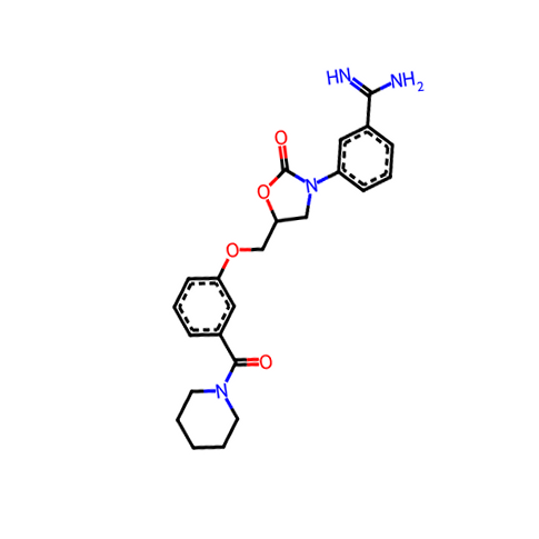 N=C(N)c1cccc(N2CC(COc3cccc(C(=O)N4CCCCC4)c3)OC2=O)c1